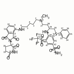 CN(CCCCCNc1cccc2c1C(=O)N(C1CCC(=O)NC1=O)C2=O)CCC(CSc1ccccc1)Nc1ccc(S(N)(=O)=O)cc1S(=O)(=O)C(F)(F)F